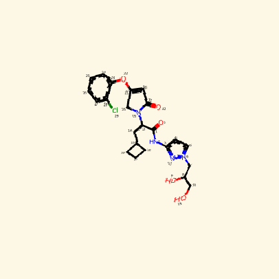 O=C(Nc1ccn(CC(O)CO)n1)C(CC1CCC1)N1CC(Oc2ccccc2Cl)=CC1=O